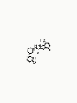 Cc1ccc(F)c2cc(C(=O)N[C@@H]3CCC[C@H](c4nccc(=O)[nH]4)C3)[nH]c12